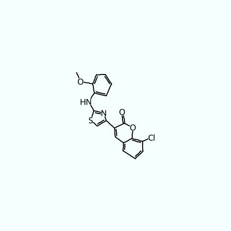 COc1ccccc1Nc1nc(-c2cc3cccc(Cl)c3oc2=O)cs1